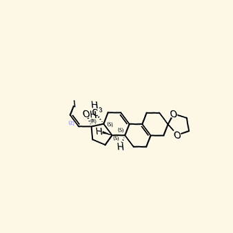 C[C@]12CC=C3C4=C(CC[C@H]3[C@@H]1CC[C@@]2(O)/C=C\I)CC1(CC4)OCCO1